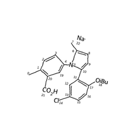 Cc1ccc(-n2c(C)ccc2-c2cc(Cl)ccc2OCC(C)C)cc1C(=O)O.[Na]